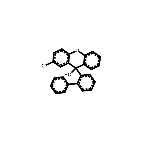 OC1(c2ccccc2-c2ccccc2)c2ccccc2Oc2ccc(Cl)cc21